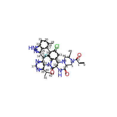 C=CC(=O)N1CC2C(=O)Nc3c(c4cc(Cl)c(-c5c(C)ccc6[nH]ncc56)c(F)c4n(-c4c(C(C)C)ncnc4C(C)C)c3=O)N2CC1C